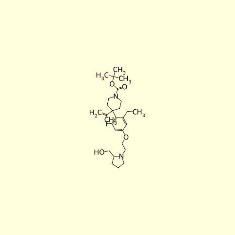 C=C(C)C1(c2c(F)cc(OCCN3CCCC3CO)cc2CC)CCN(C(=O)OC(C)(C)C)CC1